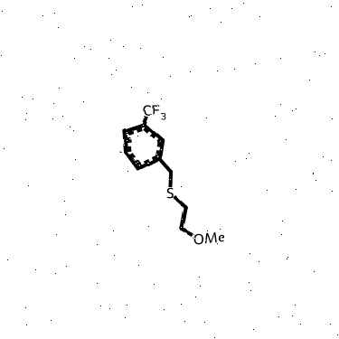 COCCSCc1c[c]cc(C(F)(F)F)c1